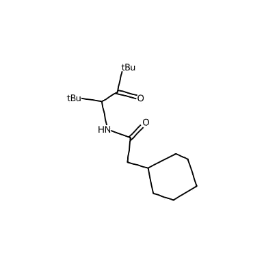 CC(C)(C)C(=O)C(NC(=O)CC1CCCCC1)C(C)(C)C